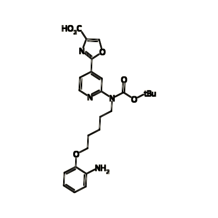 CC(C)(C)OC(=O)N(CCCCCOc1ccccc1N)c1cc(-c2nc(C(=O)O)co2)ccn1